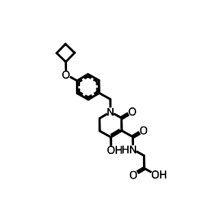 O=C(O)CNC(=O)C1=C(O)CCN(Cc2ccc(OC3CCC3)cc2)C1=O